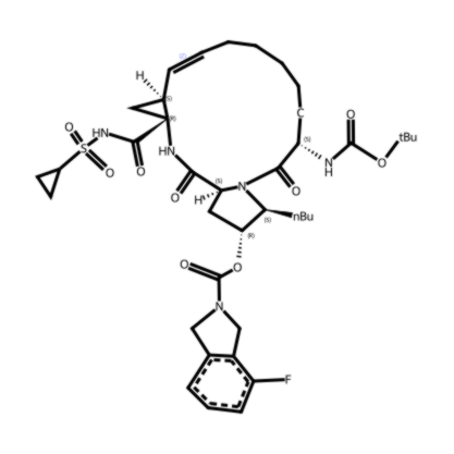 CCCC[C@H]1[C@H](OC(=O)N2Cc3cccc(F)c3C2)C[C@H]2C(=O)N[C@]3(C(=O)NS(=O)(=O)C4CC4)C[C@H]3/C=C\CCCCC[C@H](NC(=O)OC(C)(C)C)C(=O)N21